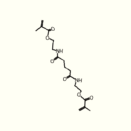 C=C(C)C(=O)OCCNC(=O)CCCC(=O)NCCOC(=O)C(=C)C